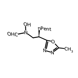 CCCCC[C@H](CN(O)C=O)c1nnc(C)o1